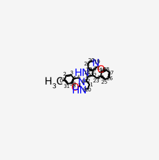 Cc1ccc(CN2C(=O)NCCC2C2NC3=C(C(=O)N=CC3)C2Cc2ccccc2)cc1